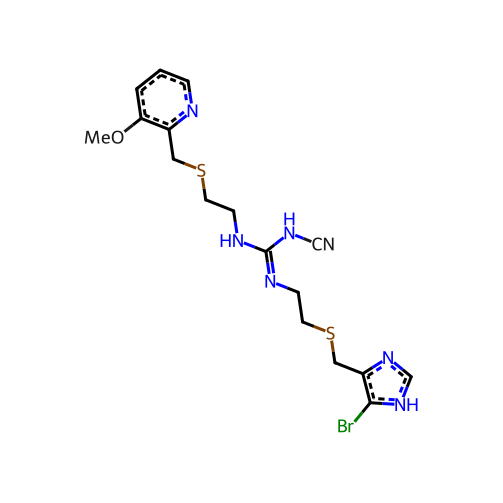 COc1cccnc1CSCCN/C(=N/CCSCc1nc[nH]c1Br)NC#N